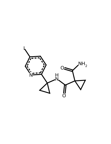 NC(=O)C1(C(=O)NC2(c3ccc(I)cn3)CC2)CC1